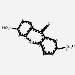 O=C(O)c1ccc2c(=O)c3cc(C(=O)O)ccc3oc2c1